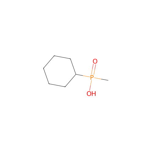 CP(=O)(O)C1CCCCC1